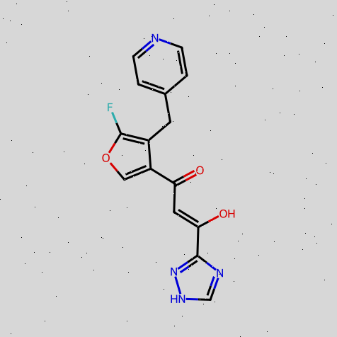 O=C(C=C(O)c1nc[nH]n1)c1coc(F)c1Cc1ccncc1